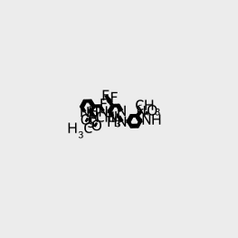 CN(c1ncccc1CNc1nc(Nc2ccc3[nH]c(=O)n(C)c3c2)ncc1C(F)(F)F)S(C)(=O)=O